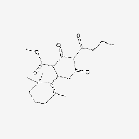 CCCC(=O)C1C(=O)CC(C2=C(C)CCCC2(C)C)C(C(=O)OC)C1=O